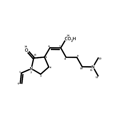 C=CN1CCC(C=C(CCCN(C)C)C(=O)O)C1=O